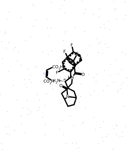 N[C@H](Cc1cc(F)c(F)cc1F)C1CC2CCC(C1)N2C(=O)CNC(=O)c1ccc(F)cc1.O=C(O)/C=C\C(=O)O